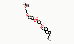 CCC1(COCCCCOc2ccc3cc(OC(=O)c4ccc(C(=O)OC5CCC6(C)C(=CCC7C6CCC6(C)C(C(C)CCCC(C)C)CCC76)C5)cc4)ccc3c2)COC1